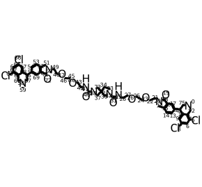 CN1Cc2c(Cl)cc(Cl)cc2C(c2ccc3c(c2)C(=O)N(CCOCCOCCNC(=O)N2CCC4(C2)CN(C(=O)NCCOCCOCCN2Cc5ccc(C6CN(C)Cc7c(Cl)cc(Cl)cc76)cc5C2=O)C4)C3)C1